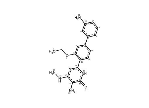 CCOc1cc(-c2cccc(N)c2)ccc1-c1nc(NN)c(N)c(=O)[nH]1